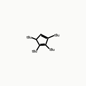 CC(C)(C)C1=[C]C(C(C)(C)C)C(C(C)(C)C)=C1C(C)(C)C